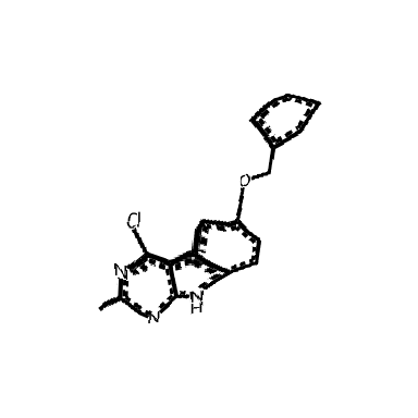 Cc1nc(Cl)c2c(n1)[nH]c1ccc(OCc3ccccc3)cc12